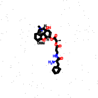 COc1ccc2c3c1O[C@H]1C(OC(=O)[C@H](C)OC(=O)CCNC(=O)[C@@H](N)Cc4ccccc4)=CC[C@@]4(O)[C@@H](C2)N(C)CC[C@]314